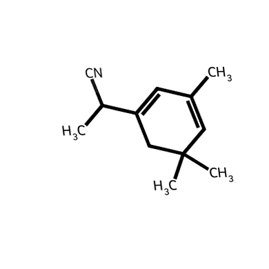 CC1=CC(C)(C)CC(C(C)C#N)=C1